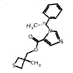 C[C@H](c1ccccc1)n1cncc1C(=O)OCC1(C)CSC1